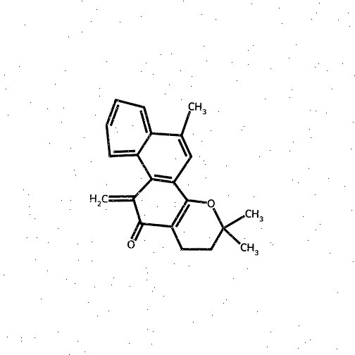 C=C1C(=O)C2=C(OC(C)(C)CC2)c2cc(C)c3ccccc3c21